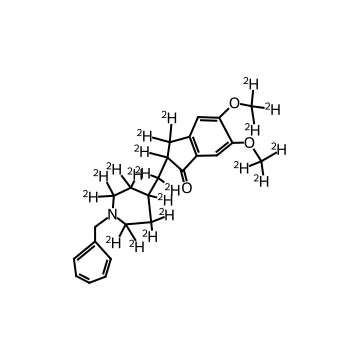 [2H]C([2H])([2H])Oc1cc2c(cc1OC([2H])([2H])[2H])C([2H])([2H])C([2H])(C([2H])([2H])C1([2H])C([2H])([2H])C([2H])([2H])N(Cc3ccccc3)C([2H])([2H])C1([2H])[2H])C2=O